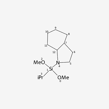 CO[Si](OC)(C(C)C)N1CCC2CCCCC21